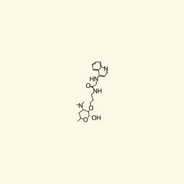 CC1C[C@H](N(C)C)[C@@H](OCCCNC(=O)CNc2ccnc3ccccc23)[C@H](O)O1